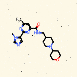 Cn1cncc1-c1nc(C(=O)NCC2CCN(C3CCOCC3)CC2)cc(C(F)(F)F)n1